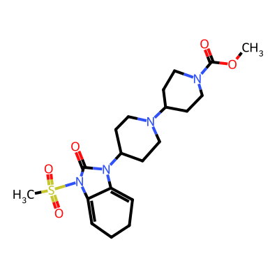 COC(=O)N1CCC(N2CCC(n3c4c(n(S(C)(=O)=O)c3=O)=CCCC=4)CC2)CC1